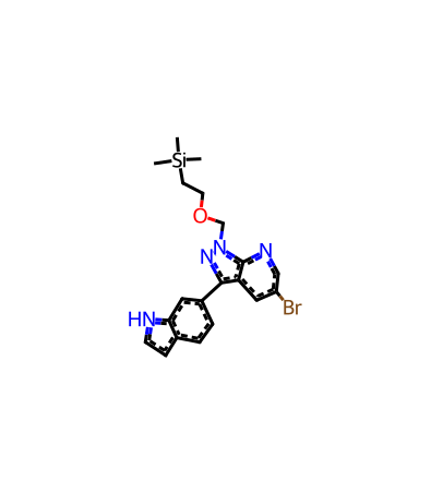 C[Si](C)(C)CCOCn1nc(-c2ccc3cc[nH]c3c2)c2cc(Br)cnc21